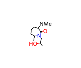 CNC1CCCC(C)N(CC(C)O)C1=O